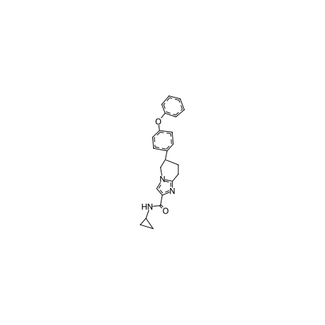 O=C(NC1CC1)c1cn2c(n1)CCC(c1ccc(Oc3ccccc3)cc1)C2